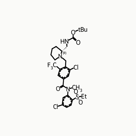 CCS(=O)(=O)c1ccc(Cl)cc1N(C)C(=O)c1cc(Cl)c(CN2CCCC[C@@H]2CNC(=O)OC(C)(C)C)c(C(F)(F)F)c1